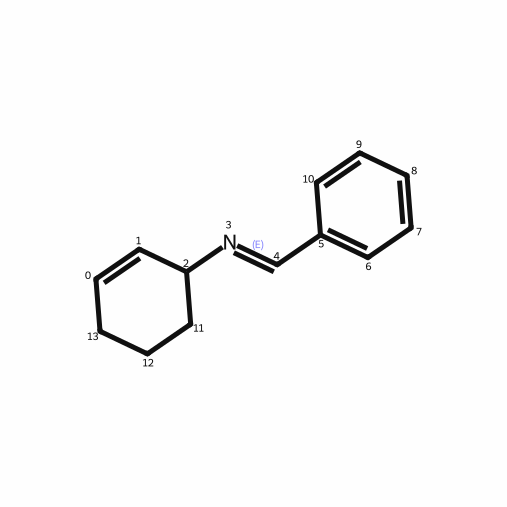 C1=CC(/N=C/c2ccccc2)CCC1